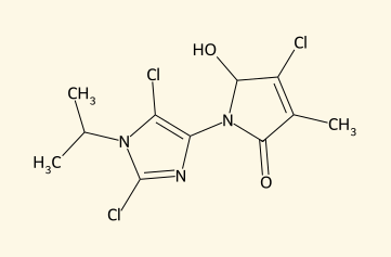 CC1=C(Cl)C(O)N(c2nc(Cl)n(C(C)C)c2Cl)C1=O